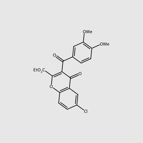 CCOC(=O)c1oc2ccc(Cl)cc2c(=O)c1C(=O)c1ccc(OC)c(OC)c1